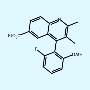 CCOC(=O)c1ccc2nc(C)c(C)c(-c3c(F)cccc3OC)c2c1